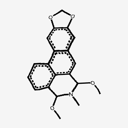 COC1c2cccc3c2c(cc2cc4c(cc23)OCO4)C(OC)N1C